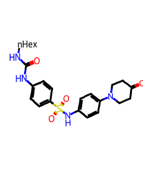 CCCCCCNC(=O)Nc1ccc(S(=O)(=O)Nc2ccc(N3CCC(=O)CC3)cc2)cc1